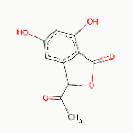 CC(=O)C1OC(=O)c2c(O)cc(O)cc21